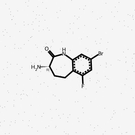 N[C@H]1CCc2c(F)cc(Br)cc2NC1=O